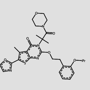 Cc1c(-c2ncco2)sc2nc(OCCc3ccccc3OC(C)C)n(C(C)(C)C(=O)N3CCOCC3)c(=O)c12